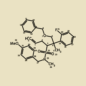 C=CCC(C(C)(COCc1ccccc1)c1ccccc1F)S(=O)(=O)N(C)Cc1ccc(OC)cc1